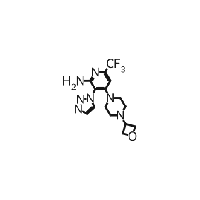 Nc1nc(C(F)(F)F)cc(N2CCN(C3COC3)CC2)c1-n1ccnn1